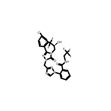 O=C(NCC(F)(F)F)c1ccccc1-n1cnc(Cn2nc(-c3ccc(Cl)cc3)n(C[C@H](O)C(F)(F)F)c2=O)n1